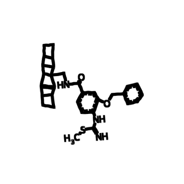 CSC(=N)Nc1ccc(C(=O)NCC23C4=C(C5CCC45)C2C2C4CCC4C23)cc1OCc1ccccc1